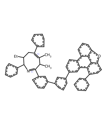 CCC1C/C(c2ccccc2)=C(/C)C(C)/C(c2cccc(-c3cccc(-c4ccc5c(c4)c4c(-c6ccccc6)ccc6oc7cccc5c7c64)c3)c2)=N\C1c1ccccc1